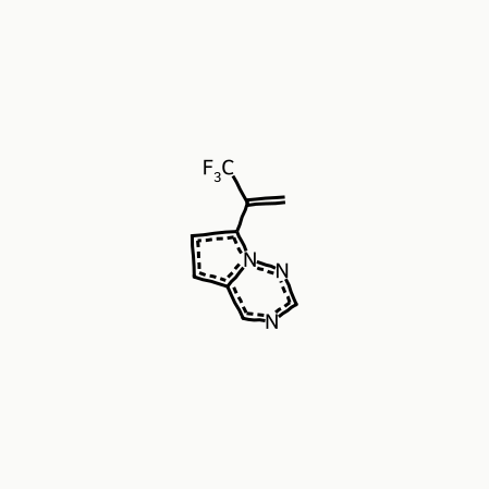 C=C(c1ccc2cncnn12)C(F)(F)F